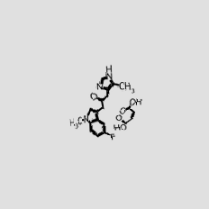 Cc1[nH]cnc1CC(=O)Cc1cn(C)c2ccc(F)cc12.O=C(O)/C=C\C(=O)O